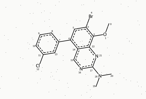 COc1c(Br)cc(-c2cccc(Cl)c2)c2cnc(N(C)C)nc12